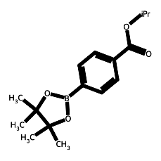 CC(C)OC(=O)c1ccc(B2OC(C)(C)C(C)(C)O2)cc1